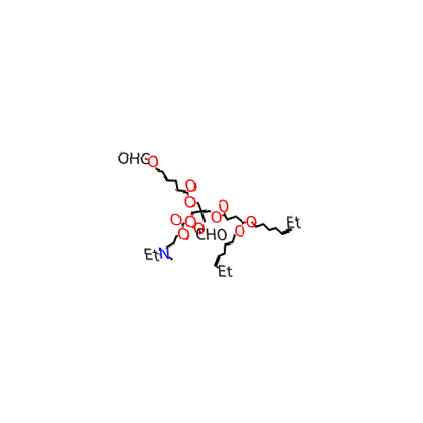 CC/C=C\CCCCOC(CCC(=O)OCC(COC=O)(COC(=O)CCCCCOC=O)COC(=O)OCCCN(C)CC)OCCCC/C=C\CC